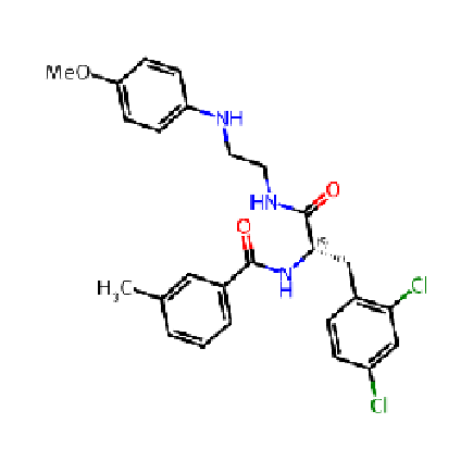 COc1ccc(NCCNC(=O)[C@H](Cc2ccc(Cl)cc2Cl)NC(=O)c2cccc(C)c2)cc1